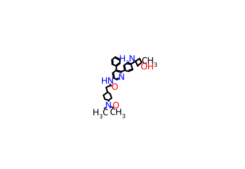 CCN(C(C)=O)C1CCC(CC(=O)Nc2cnc(-c3ccc(C4(N)CC(C)(O)C4)cc3)c(-c3ccccc3)c2)CC1